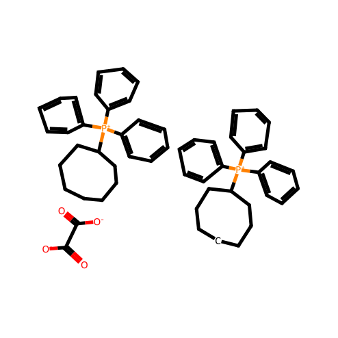 O=C([O-])C(=O)[O-].c1ccc([P+](c2ccccc2)(c2ccccc2)C2CCCCCCC2)cc1.c1ccc([P+](c2ccccc2)(c2ccccc2)C2CCCCCCC2)cc1